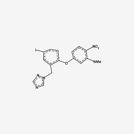 CNc1cc(Oc2ccc(I)cc2Cn2cncn2)ccc1[N+](=O)[O-]